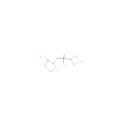 CC(C)(C)C1CCNC1CC(C)(C)C1CNC1